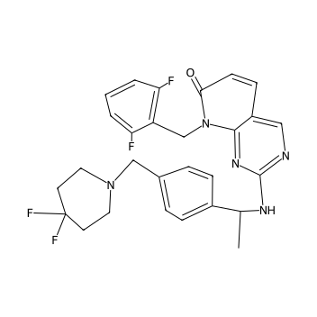 CC(Nc1ncc2ccc(=O)n(Cc3c(F)cccc3F)c2n1)c1ccc(CN2CCC(F)(F)CC2)cc1